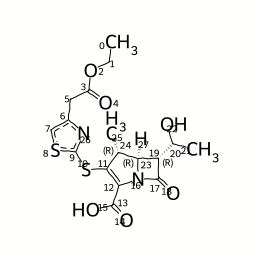 CCOC(=O)Cc1csc(SC2=C(C(=O)O)N3C(=O)[C@@H](C(C)O)[C@@H]3[C@H]2C)n1